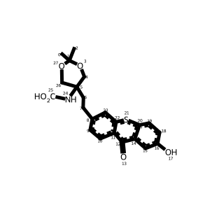 CC1(C)OCC(CCc2ccc3c(=O)c4cc(O)ccc4sc3c2)(NC(=O)O)CO1